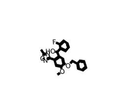 COc1cc(-c2noc(C)n2)c(C(O)c2ccccc2F)cc1OCc1ccccc1